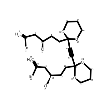 C=C(Br)C[C@H](Cl)CCC1(C#CC2(CC[C@@H](Cl)CC(=C)Br)OCCCO2)OCCCO1